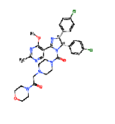 CCOc1nc(C(F)(F)F)ncc1C1=N[C@H](c2ccc(Cl)cc2)[C@H](c2ccc(Cl)cc2)N1C(=O)N1CCN(CC(=O)N2CCOCC2)CC1